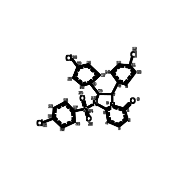 O=c1cccc2n1C(c1ccc(Cl)cc1)C(c1ccc(Cl)cc1)N2S(=O)(=O)c1ccc(Cl)cc1